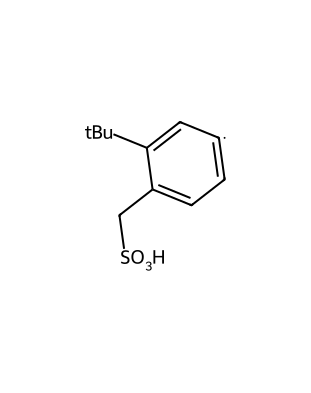 CC(C)(C)c1c[c]ccc1CS(=O)(=O)O